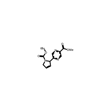 COC(=O)c1cnc(C2C=CCN2C(=O)OC(C)(C)C)cn1